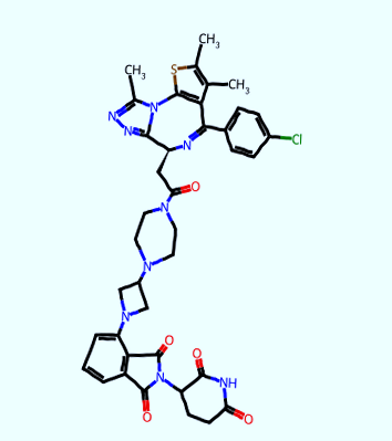 Cc1sc2c(c1C)C(c1ccc(Cl)cc1)=N[C@@H](CC(=O)N1CCN(C3CN(c4cccc5c4C(=O)N(C4CCC(=O)NC4=O)C5=O)C3)CC1)c1nnc(C)n1-2